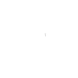 c1c2c(pc3c1CCC3)CCC2